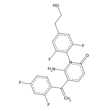 C=C(c1ccc(F)cc1F)c1ccc(=O)n(-c2c(F)cc(CCO)cc2F)c1N